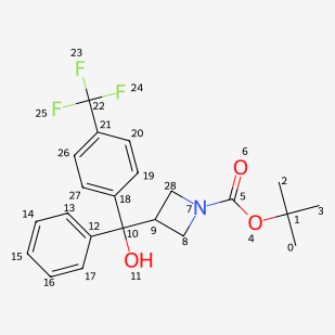 CC(C)(C)OC(=O)N1CC(C(O)(c2ccccc2)c2ccc(C(F)(F)F)cc2)C1